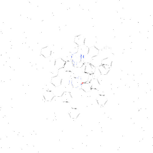 Cn1c2c(-c3ccccc3-c3nc(-c4cc(-c5ccccc5)cc(-c5ccccc5)c4)nc(-c4cc(-c5ccccc5)cc(-c5ccccc5)c4)n3)cc(C(C)(C)C)cc2c2cc(C(C)(C)C)cc(-c3ccccc3-c3nc(-c4cc(-c5ccccc5)cc(-c5ccccc5)c4)nc(-c4cc(-c5ccccc5)cc(-c5ccccc5)c4)n3)c21